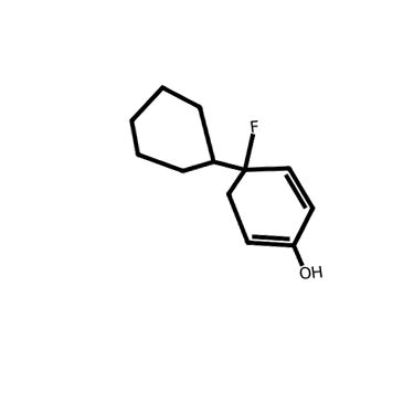 OC1=CCC(F)(C2CCCCC2)C=C1